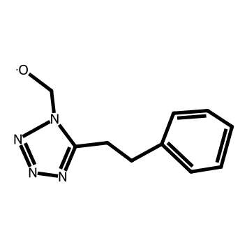 [O]Cn1nnnc1CCc1ccccc1